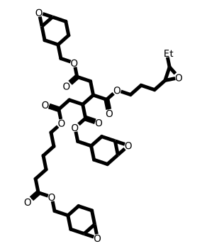 CCC1OC1CCCOC(=O)C(CC(=O)OCC1CCC2OC2C1)C(CC(=O)OCCCCCC(=O)OCC1CCC2OC2C1)C(=O)OCC1CCC2OC2C1